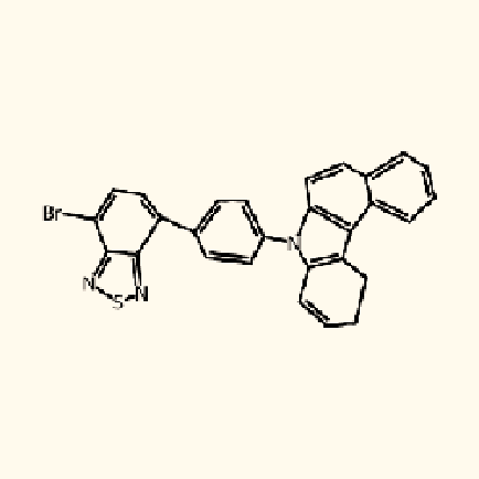 Brc1ccc(-c2ccc(-n3c4c(c5c6ccccc6ccc53)CCC=C4)cc2)c2nsnc12